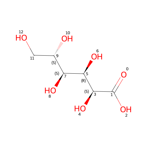 O=C(O)[C@@H](O)[C@H](O)[C@@H](O)[C@@H](O)CO